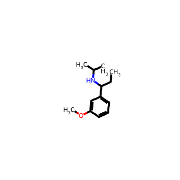 CCC(NC(C)C)c1cccc(OC)c1